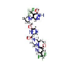 O=C(c1cncc(OC[C@@H]2CCCN2c2cn[nH]c(=O)c2C(F)(F)F)n1)N1CCN2c3ncc(C(F)(F)F)cc3OCCC2C1